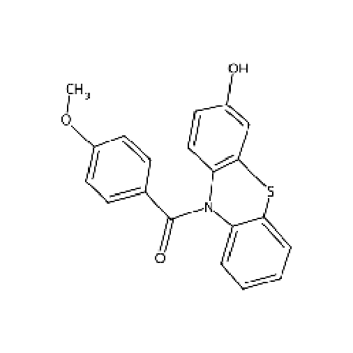 COc1ccc(C(=O)N2c3ccccc3Sc3cc(O)ccc32)cc1